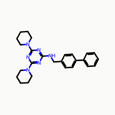 c1ccc(-c2ccc(CNc3nc(N4CCCCC4)nc(N4CCCCC4)n3)cc2)cc1